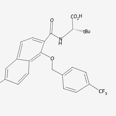 CC(C)(C)[C@H](NC(=O)c1ccc2cc(F)ccc2c1OCc1ccc(C(F)(F)F)cc1)C(=O)O